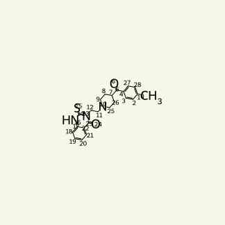 Cc1ccc(C(=O)C2CCN(CCn3c(=S)[nH]c4ccccc4c3=O)CC2)cc1